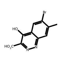 Cc1cc2nnc(C(=O)O)c(O)c2cc1Br